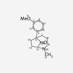 COc1cccc(C23CCCN(C)C(CC2)C3=O)c1